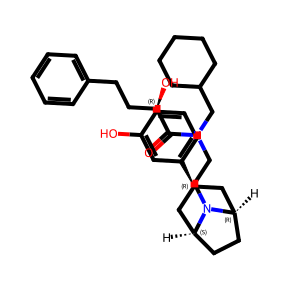 O=C([C@H](O)CCc1ccccc1)N(CCN1[C@@H]2CC[C@H]1C[C@@H](c1cccc(O)c1)C2)CC1CCCCC1